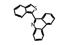 c1ccc2c(-c3nc4ccccc4c4ccccc34)scc2c1